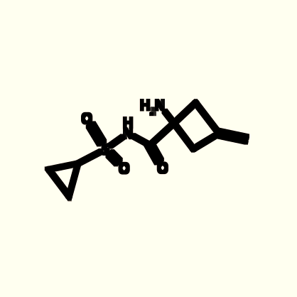 C=C1CC(N)(C(=O)NS(=O)(=O)C2CC2)C1